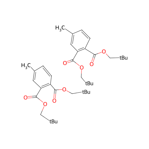 Cc1ccc(C(=O)OCC(C)(C)C)c(C(=O)OCC(C)(C)C)c1.Cc1ccc(C(=O)OCC(C)(C)C)c(C(=O)OCC(C)(C)C)c1